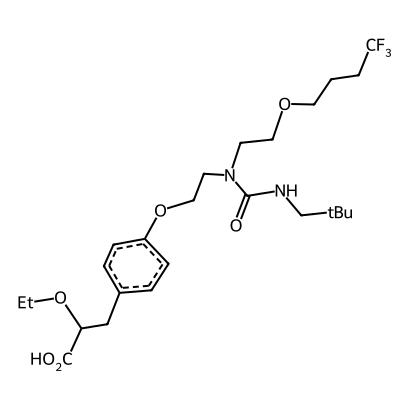 CCOC(Cc1ccc(OCCN(CCOCCCC(F)(F)F)C(=O)NCC(C)(C)C)cc1)C(=O)O